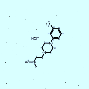 CC(=O)N(C)CCN1CCN(c2cccc(C(F)(F)F)c2)CC1.Cl